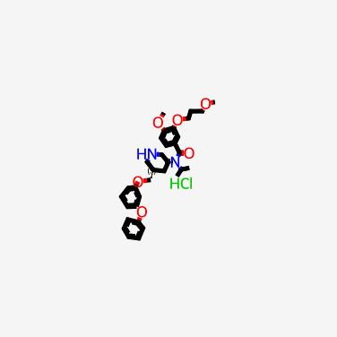 COCCCOc1cc(C(=O)N(C(C)C)[C@H]2CNC[C@@H](COc3cccc(Oc4ccccc4)c3)C2)ccc1OC.Cl